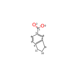 [O]C(=O)c1ccc2c(c1)CCC2